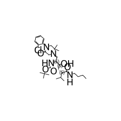 CCCCNC(=O)[C@@H](C[C@H](O)[C@H](CN1CC(=O)N(c2ccccc2Cl)CC1(C)C)NC(=O)OC(C)(C)C)C(C)C